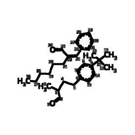 CC(C=O)CCc1ccc(C(C)(C)C)cc1.CCCCCCC(C=O)=Cc1ccccc1